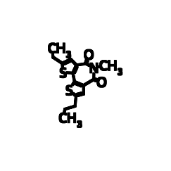 CCCc1cc2c(=O)n(C)c(=O)c3cc(CC)sc3c2s1